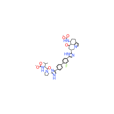 COC(=O)N[C@H]1CCc2ccn3c2C1C(=O)C[C@H](c1ncc(-c2ccc(-c4ccc(-c5c[nH]c([C@@H]6CCCN6C(=O)[C@@H](NC(=O)OC)C(C)C)n5)cc4)c(F)c2)[nH]1)C3